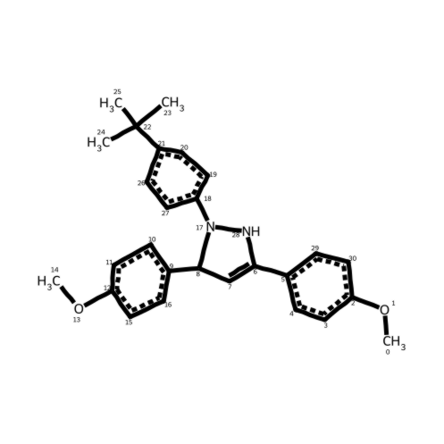 COc1ccc(C2=CC(c3ccc(OC)cc3)N(c3ccc(C(C)(C)C)cc3)N2)cc1